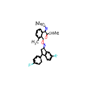 CO/N=C(/C(=O)OC)c1cccc(C)c1CO/N=C1\C=C(c2ccc(F)cc2)c2ccc(F)cc21